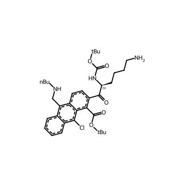 CCCCNCc1c2ccccc2c(Cl)c2c(C(=O)OC(C)(C)C)c(C(=O)[C@H](CCCCN)NC(=O)OC(C)(C)C)ccc12